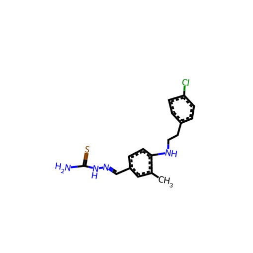 Cc1cc(/C=N/NC(N)=S)ccc1NCCc1ccc(Cl)cc1